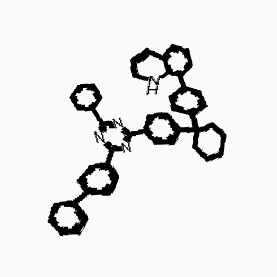 C1=Cc2cccc(-c3ccc(C4(c5ccc(-c6nc(-c7ccccc7)nc(-c7ccc(-c8ccccc8)cc7)n6)cc5)CCCCC4)cc3)c2NC1